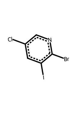 Clc1cnc(Br)c(I)c1